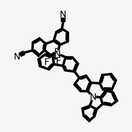 N#Cc1ccc(-n2c3ccccc3c3cc(-c4ccc(-n5c6ccccc6c6ccccc65)c(-c5ccccc5)c4)ccc32)c(-c2ccc(C#N)cc2C(F)(F)F)c1